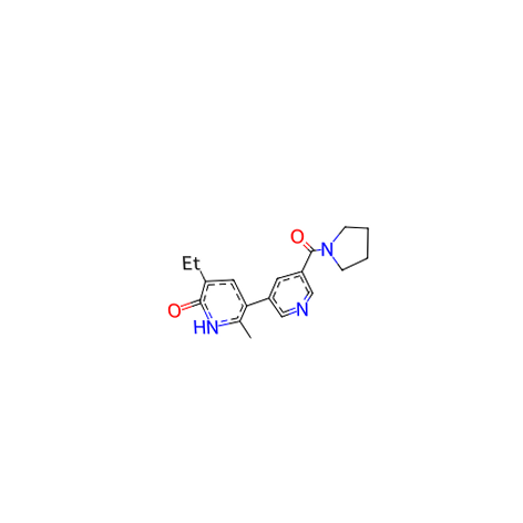 CCc1cc(-c2cncc(C(=O)N3CCCC3)c2)c(C)[nH]c1=O